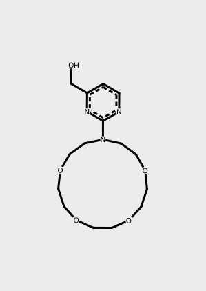 OCc1ccnc(N2CCOCCOCCOCCOCC2)n1